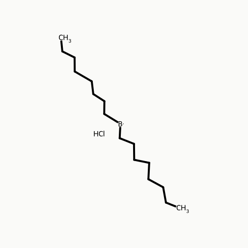 CCCCCCCC[B]CCCCCCCC.Cl